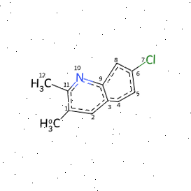 Cc1cc2ccc(Cl)cc2nc1C